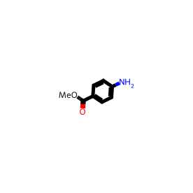 COC(=O)c1c[c]c(N)cc1